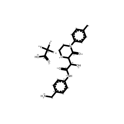 Cc1ccc(N2CCOC(C(O)C(=O)Nc3ccc(CN)cc3)C2=O)cc1.O=C(O)C(F)(F)F